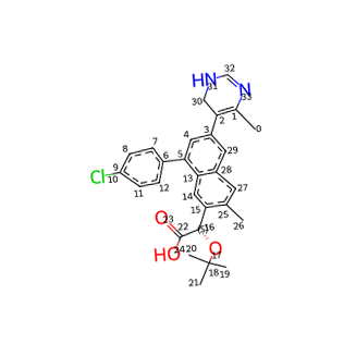 CC1=C(c2cc(-c3ccc(Cl)cc3)c3cc([C@H](OC(C)(C)C)C(=O)O)c(C)cc3c2)CNC=N1